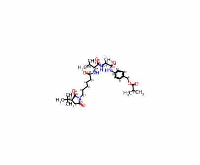 CC(C)C(=O)OCc1ccc(NC(=O)[C@H](C)NC(=O)[C@@H](NC(=O)CCCCCN2C(=O)CC(C(C)(C)C)C2=O)C(C)C)cc1